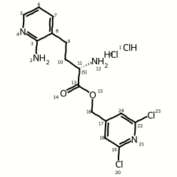 Cl.Cl.Nc1ncccc1CC[C@H](N)C(=O)OCc1cc(Cl)nc(Cl)c1